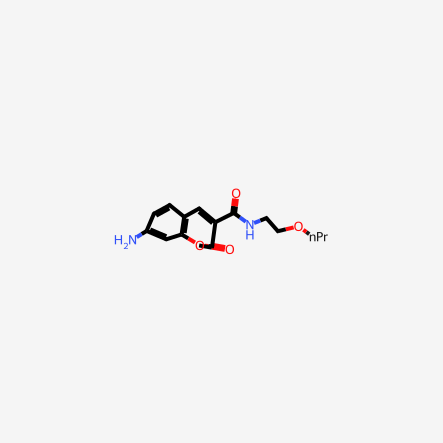 CCCOCCNC(=O)c1cc2ccc(N)cc2oc1=O